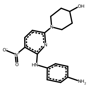 Nc1ccc(Nc2nc(N3CCC(O)CC3)ccc2[N+](=O)[O-])cc1